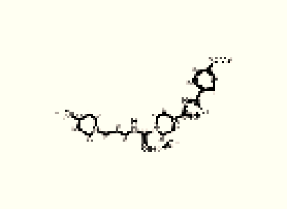 COc1ccc(-c2noc(N3CCN(C(=O)NCCCN4CCC(C)CC4)CC3)n2)cc1.O=CO